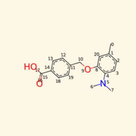 Cc1ccc(N(C)C)c(OCc2ccc(C(=O)O)cc2)c1